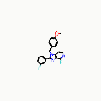 COc1ccc(Cn2c(-c3cccc(F)c3)nc3c(F)nccc32)cc1